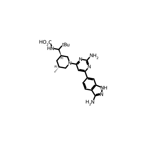 C[C@@H]1C[C@@H](C(NC(=O)O)C(C)(C)C)CN(c2cc(-c3ccc4c(N)n[nH]c4c3)nc(N)n2)C1